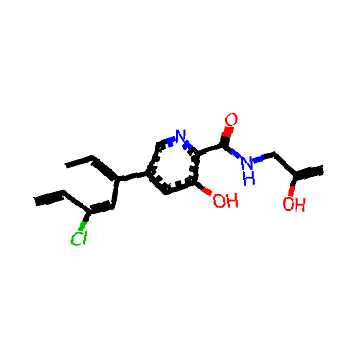 C=C/C(Cl)=C\C(=C/C)c1cnc(C(=O)NCC(=C)O)c(O)c1